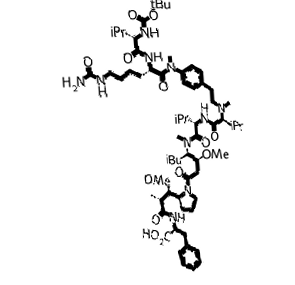 CC[C@H](C)[C@@H]([C@@H](CC(=O)N1CCC[C@H]1[C@H](OC)[C@@H](C)C(=O)N[C@@H](Cc1ccccc1)C(=O)O)OC)N(C)C(=O)[C@@H](NC(=O)[C@H](C(C)C)N(C)CCc1ccc(N(C)C(=O)[C@H](CCCCNC(N)=O)NC(=O)[C@@H](NC(=O)OC(C)(C)C)C(C)C)cc1)C(C)C